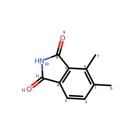 Cc1ccc2c(c1C)C(=O)NC2=O